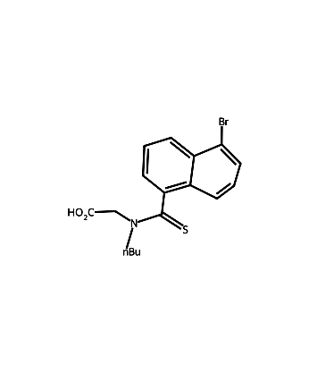 CCCCN(CC(=O)O)C(=S)c1cccc2c(Br)cccc12